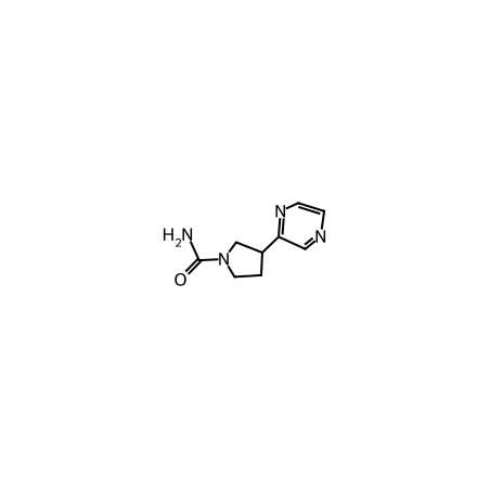 NC(=O)N1CCC(c2cnccn2)C1